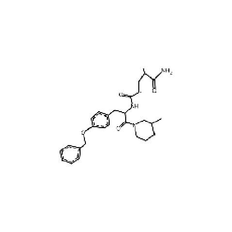 CC1CCCN(C(=O)C(Cc2ccc(OCc3ccccc3)cc2)NC(=O)[CH]CC(C)C(N)=O)C1